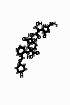 Nc1nc(C(=NO)C(=O)N[C@@H]2C(=O)N3CC(Sc4ccncc4CSC4CCNCC4)(C(=O)O)CS[C@H]23)c(Cl)s1